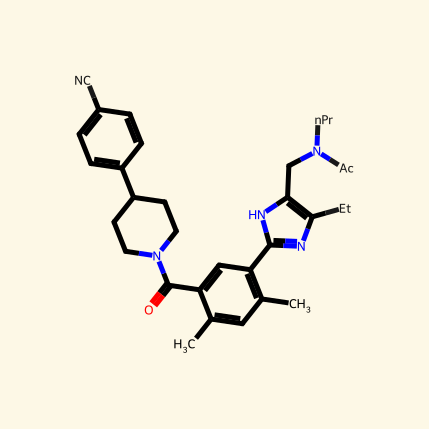 CCCN(Cc1[nH]c(-c2cc(C(=O)N3CCC(c4ccc(C#N)cc4)CC3)c(C)cc2C)nc1CC)C(C)=O